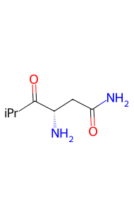 CC(C)C(=O)[C@@H](N)CC(N)=O